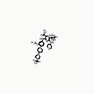 [2H]C([2H])([2H])N1CCN(C2CCN(c3ccc(Nc4nc(NC5CCOCC5)c(C([2H])([2H])C([2H])([2H])[2H])nc4C(N)=O)cc3OC)CC2)CC1